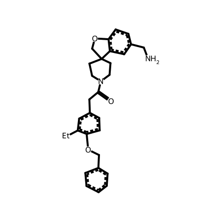 CCc1cc(CC(=O)N2CCC3(CC2)COc2ccc(CN)cc23)ccc1OCc1ccccc1